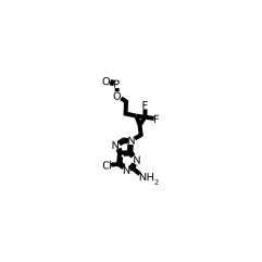 Nc1nc(Cl)c2ncn(CC3C(CCOP=O)C3(F)F)c2n1